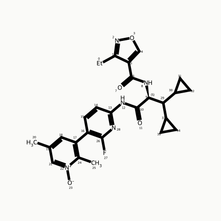 CCc1nocc1C(=O)N[C@H](C(=O)Nc1ccc(-c2cc(C)c[n+]([O-])c2C)c(F)n1)C(C1CC1)C1CC1